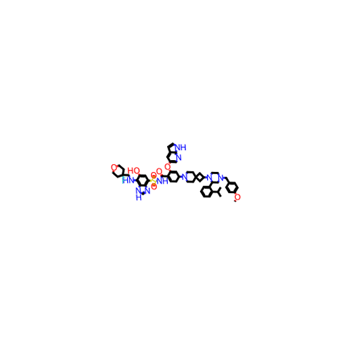 COc1ccc(CN2CCN(C3CC4(CCN(C5C=C(Oc6cnc7[nH]ccc7c6)C(C(=O)NS(=O)(=O)c6cc(O)c(NCC7(F)CCOCC7)c7[nH]cnc67)=CC5)CC4)C3)C(c3ccccc3C(C)C)C2)cc1